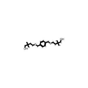 CC(C)(CO)CCSCc1ccc(CSCCC(C)(C)CO)cc1